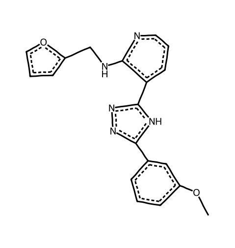 COc1cccc(-c2nnc(-c3cccnc3NCc3ccco3)[nH]2)c1